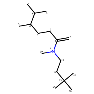 C=C(CCC(C)C(C)C)N(C)CCC(C)(C)C